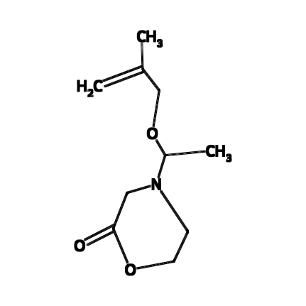 C=C(C)COC(C)N1CCOC(=O)C1